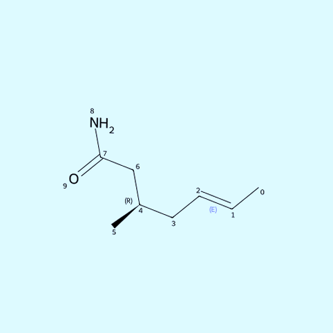 C/C=C/C[C@@H](C)CC(N)=O